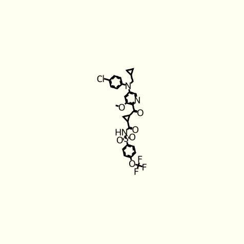 COc1cc(N(CC2CC2)c2ccc(Cl)cc2)cnc1C(=O)C1CC1C(=O)NS(=O)(=O)c1ccc(OC(F)(F)F)cc1